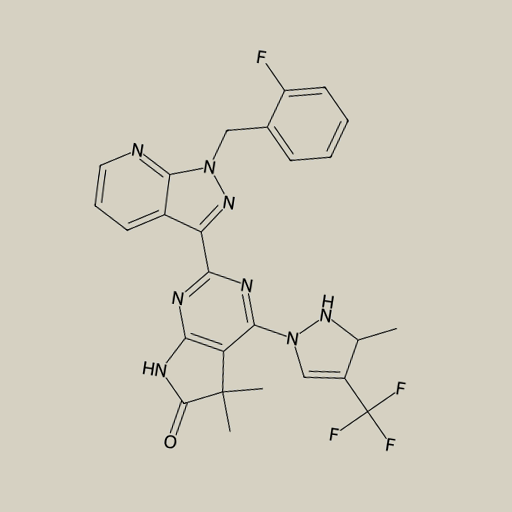 CC1NN(c2nc(-c3nn(Cc4ccccc4F)c4ncccc34)nc3c2C(C)(C)C(=O)N3)C=C1C(F)(F)F